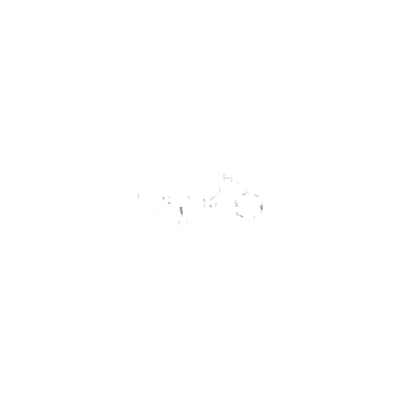 C/C(=N\OC(=O)N1CCCCC1)c1ccccc1